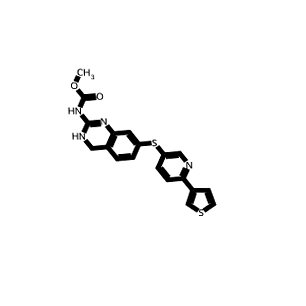 COC(=O)NC1=Nc2cc(Sc3ccc(-c4ccsc4)nc3)ccc2CN1